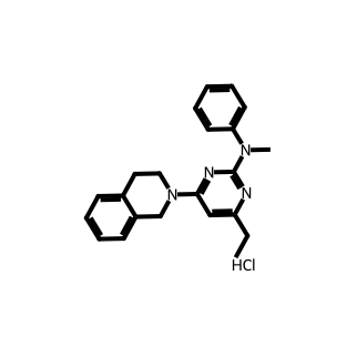 CCc1cc(N2CCc3ccccc3C2)nc(N(C)c2ccccc2)n1.Cl